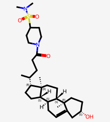 CC(CCC(=O)N1CCC(S(=O)(=O)N(C)C)CC1)[C@H]1CC[C@H]2[C@@H]3CC=C4C[C@@H](O)CC[C@]4(C)[C@H]3CC[C@]12C